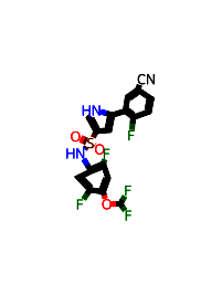 N#Cc1ccc(F)c(-c2cc(S(=O)(=O)Nc3cc(F)c(OC(F)F)cc3F)c[nH]2)c1